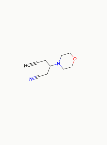 C#CCC(CC#N)N1CCOCC1